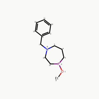 CCOP1CCCN(Cc2ccccc2)CC1